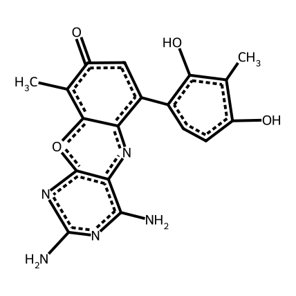 Cc1c(O)ccc(-c2cc(=O)c(C)c3oc4nc(N)nc(N)c4nc2-3)c1O